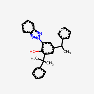 CC(c1ccccc1)c1cc(-n2nc3ccccc3n2)c(O)c(C(C)(C)c2ccccc2)c1